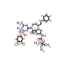 CC(C)C[C@H](CNS(=O)(=O)c1ccc(Cl)c(Cl)c1)N1CCC(CCc2ccccc2)N2C[C@H](NC(=O)OC(C)(C)C)C[C@H]2C1=O